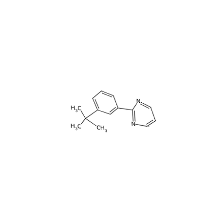 CC(C)(C)c1cccc(-c2n[c]ccn2)c1